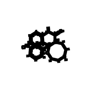 O=C1Nc2ccc(Cl)cc2C2(c3ccccc3)OCCOCCN12